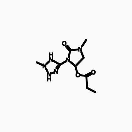 CCC(=O)OC1CN(C)C(=O)N1C1=NNN(C)N1